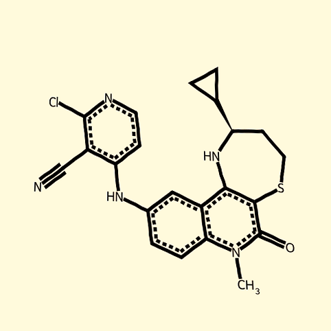 Cn1c(=O)c2c(c3cc(Nc4ccnc(Cl)c4C#N)ccc31)N[C@@H](C1CC1)CCS2